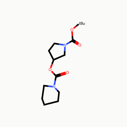 CC(C)(C)OC(=O)N1CCC(OC(=O)N2CCCCC2)C1